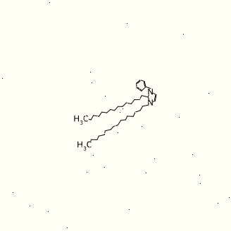 CCCCCCCCCCCCCCCCCN1C=CN(Cc2ccccc2)C1CCCCCCCCCCCCCCC